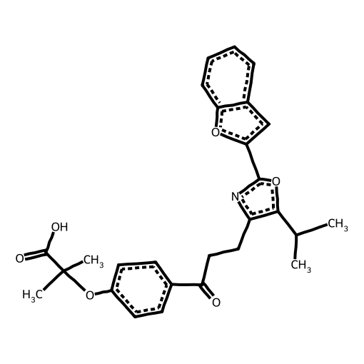 CC(C)c1oc(-c2cc3ccccc3o2)nc1CCC(=O)c1ccc(OC(C)(C)C(=O)O)cc1